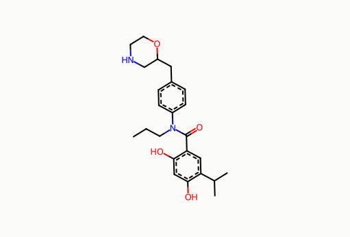 CCCN(C(=O)c1cc(C(C)C)c(O)cc1O)c1ccc(CC2CNCCO2)cc1